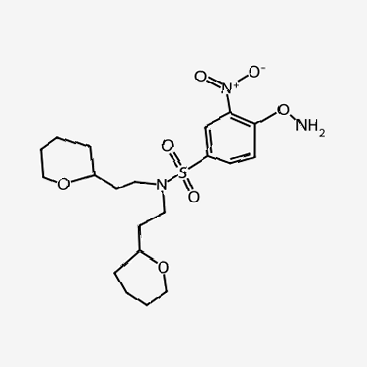 NOc1ccc(S(=O)(=O)N(CCC2CCCCO2)CCC2CCCCO2)cc1[N+](=O)[O-]